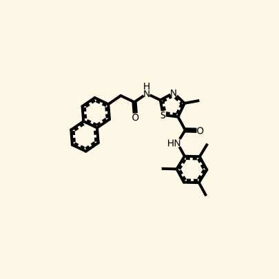 Cc1cc(C)c(NC(=O)c2sc(NC(=O)Cc3ccc4ccccc4c3)nc2C)c(C)c1